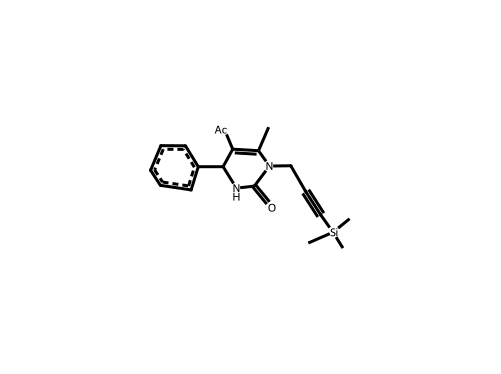 CC(=O)C1=C(C)N(CC#C[Si](C)(C)C)C(=O)NC1c1ccccc1